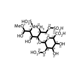 COC(O)C(NS(=O)(=O)O)C(O)C(OC1OC(C(=O)O)C(O)C(O)C1OS(=O)(=O)O)C(C)COS(=O)(=O)O